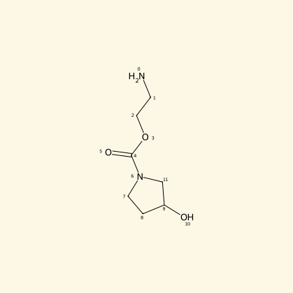 NCCOC(=O)N1CCC(O)C1